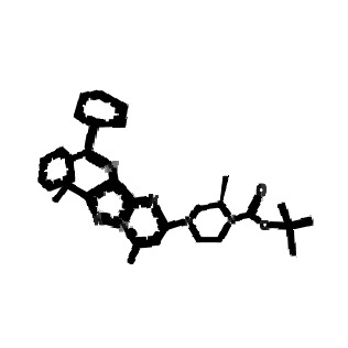 CCc1nn2c(C)cc(N3CCN(C(=O)OC(C)(C)C)[C@H](C)C3)nc2c1N=C(c1ccccc1)c1ccccc1